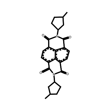 CC1CCC(N2C(=O)c3ccc4c5c(ccc(c35)C2=O)C(=O)N(C2CCC(C)C2)C4=O)C1